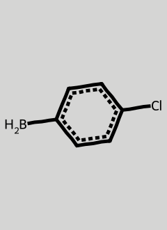 Bc1ccc(Cl)cc1